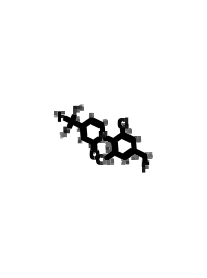 O=c1cc(C(F)(F)F)ccn1-c1c(Cl)cc(CF)cc1Cl